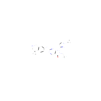 O=c1c2cnc(Nc3ccc4c(c3)CNCC43CC3)nc2n(-c2ccn(C3CC3)n2)n1CC(F)(F)F